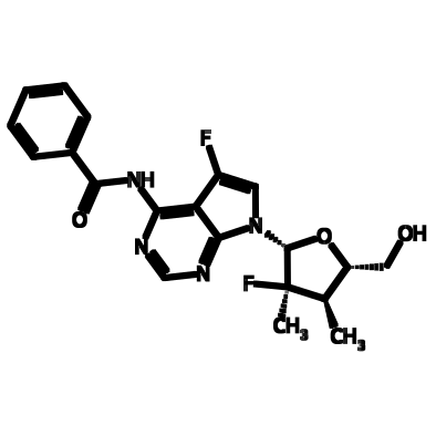 C[C@@H]1[C@@H](CO)O[C@@H](n2cc(F)c3c(NC(=O)c4ccccc4)ncnc32)[C@]1(C)F